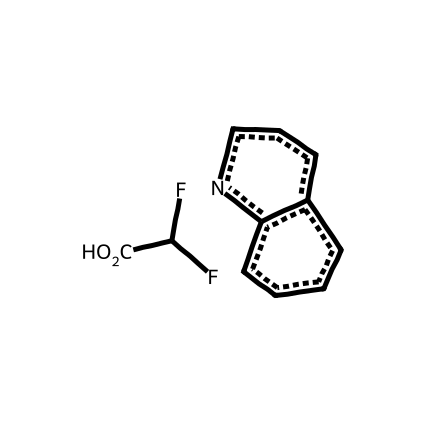 O=C(O)C(F)F.c1ccc2ncccc2c1